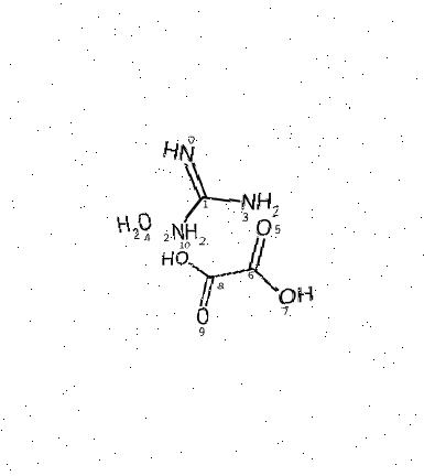 N=C(N)N.O.O=C(O)C(=O)O